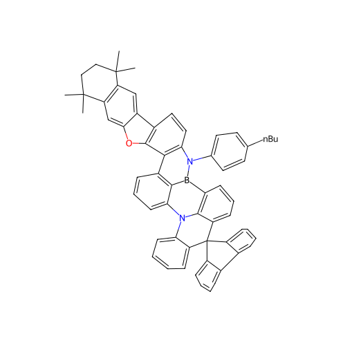 CCCCc1ccc(N2B3c4cccc5c4N(c4ccccc4C54c5ccccc5-c5ccccc54)c4cccc(c43)-c3c2ccc2c3oc3cc4c(cc32)C(C)(C)CCC4(C)C)cc1